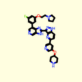 Fc1cc(OCCN2CCCC2)cc(-c2cncc3[nH]c(-c4n[nH]c5ccc(-c6cncc(OC7CCNCC7)c6)nc45)nc23)c1